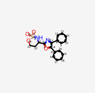 O=S1(=O)NC(c2nc(-c3ccccc3)c(-c3ccccc3)o2)CCO1